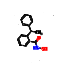 CC(c1ccccc1)c1ccccc1C(=O)NO